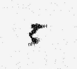 CCCC(=O)c1ccc(C#CCN(C)CC2CCN(c3ccc(C(c4ccc(O)cc4C)C(CC)c4cccc(C)c4)cc3)CC2)cc1CC